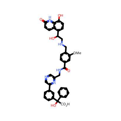 COc1cc(C(=O)NCc2cncc(-c3cccc(C(O)(C(=O)O)c4ccccc4)c3)n2)ccc1CNCC(O)c1ccc(O)c2[nH]c(=O)ccc12